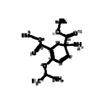 CC(N)OC1=C(C(=O)OC(C)(C)C)CC(N)(C(=O)OC(C)(C)C)C=C1